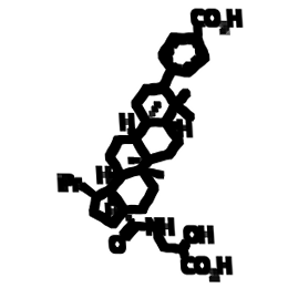 CC(C)[C@@H]1CC[C@]2(C(=O)NCC(O)C(=O)O)CC[C@]3(C)[C@H](CC[C@@H]4[C@@]5(C)CC=C(c6ccc(C(=O)O)cc6)C(C)(C)[C@@H]5CC[C@]43C)[C@@H]12